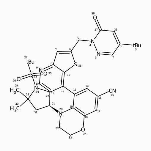 CC(C)(C)c1cnn(Cc2cc3nccc(-c4cc(C#N)cc5c4N([C@@H]4CN(S(=O)(=O)C(C)(C)C)C(C)(C)C4)CCO5)c3s2)c(=O)c1